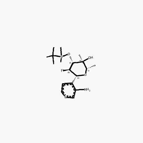 C[C@@H]1O[C@H](c2ccncc2N)[C@@H](F)[C@H](O[Si](C)(C)C(C)(C)C)[C@@]1(C)O